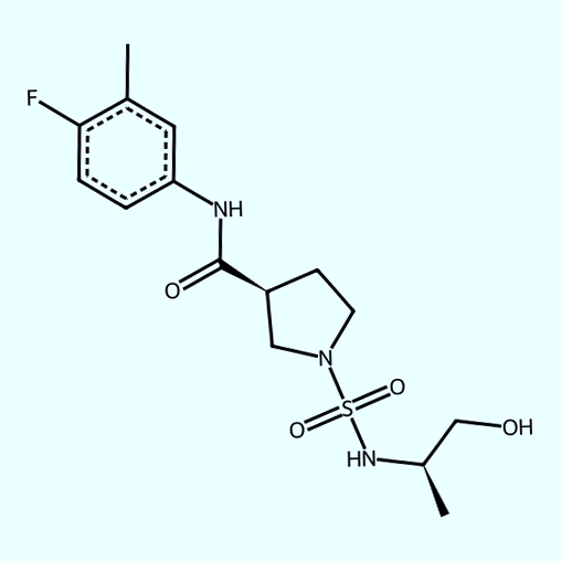 Cc1cc(NC(=O)[C@H]2CCN(S(=O)(=O)N[C@H](C)CO)C2)ccc1F